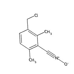 Cc1ccc(CCl)c(C)c1C#[N+][O-]